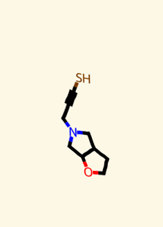 SC#CCN1CC2CCOC2C1